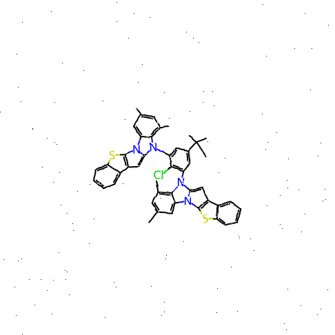 Cc1cc(C)c2c(c1)n1c3sc4ccccc4c3cc1n2-c1cc(C(C)(C)C)cc(-n2c3c(C)cc(C)cc3n3c4sc5ccccc5c4cc23)c1Cl